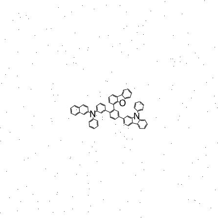 c1ccc(N(c2cccc(-c3ccc(-c4ccc5c6ccccc6n(-c6ccccc6)c5c4)cc3-c3cccc4c3oc3ccccc34)c2)c2ccc3ccccc3c2)cc1